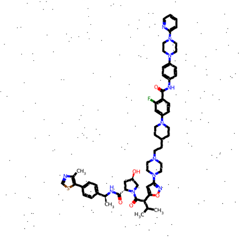 Cc1ncsc1-c1ccc([C@H](C)NC(=O)[C@@H]2C[C@@H](O)CN2C(=O)C(c2cc(N3CCN(CCC4CCN(c5ccc(C(=O)Nc6ccc(N7CCN(c8ccccn8)CC7)cc6)c(F)c5)CC4)CC3)no2)C(C)C)cc1